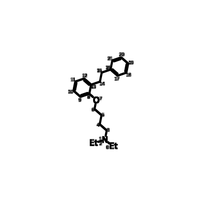 CCN(CC)CCCCOc1ccccc1CCc1ccccc1